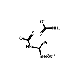 CCCCCCCC(NC([O-])=S)C(C)C.NC([O-])=S.[Zn+2]